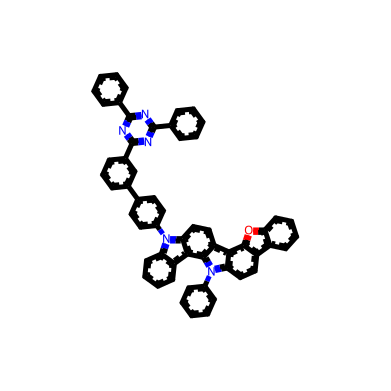 c1ccc(-c2nc(-c3ccccc3)nc(-c3cccc(-c4ccc(-n5c6ccccc6c6c5ccc5c7c8oc9ccccc9c8ccc7n(-c7ccccc7)c56)cc4)c3)n2)cc1